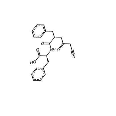 N#CCC(=O)C[C@@H](Cc1ccccc1)C(=O)N[C@@H](Cc1ccccc1)C(=O)O